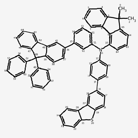 CC1(C)c2ccccc2-c2c(N(c3ccc(-c4ccc5sc6ccccc6c5c4)cc3)c3cccc(-c4ccc5c(c4)-c4ccccc4C5(c4ccccc4)c4ccccc4)c3)cccc21